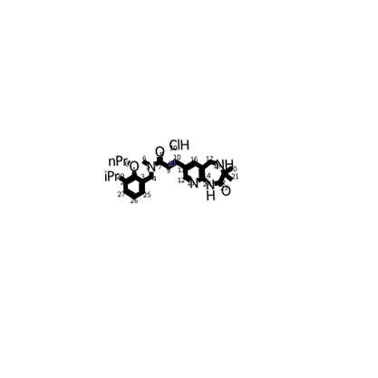 CCCOc1c(CN(C)C(=O)/C=C/c2cnc3c(c2)CNC(C)(C)C(=O)N3)cccc1C(C)C.Cl